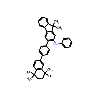 CC1(C)CCC(C)(C)c2cc(-c3ccc(-c4cc5c(cc4Nc4ccccc4)C(C)(C)c4ccccc4-5)cc3)ccc21